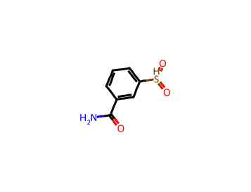 NC(=O)c1cccc([SH](=O)=O)c1